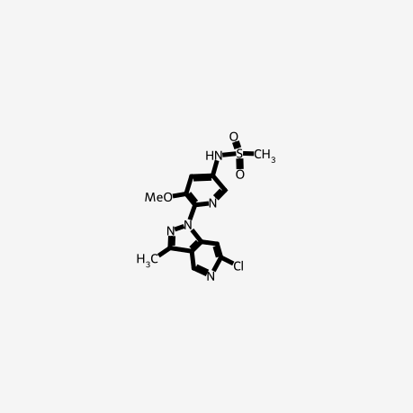 COc1cc(NS(C)(=O)=O)cnc1-n1nc(C)c2cnc(Cl)cc21